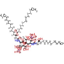 CCCCCCCCCCCCCC(=O)O[C@H](CCCCCCCCCCC)CC(=O)N[C@@H]1[C@H](OC[C@H]2O[C@@H](OP(=O)(O)O)[C@@H](NC(=O)C[C@H](O)CCCCCCCCCCC)[C@@H](O)[C@@H]2O)O[C@H](CO)[C@@H](OP(=O)(O)O)[C@@H]1O